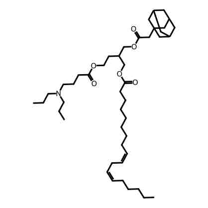 CCCCC/C=C\C/C=C\CCCCCCCC(=O)OCC(CCOC(=O)CCCN(CCC)CCC)COC(=O)CC12CC3CC(CC(C3)C1)C2